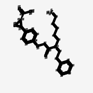 CCCCCCN(CCc1ccccc1)C(=O)COc1ccc(C2O[C@@H]2C(=O)O)cc1